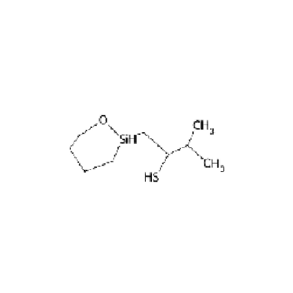 CC(C)C(S)C[SiH]1CCCCO1